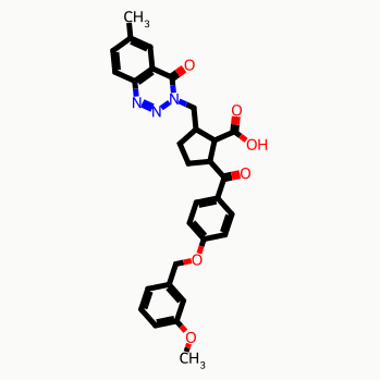 COc1cccc(COc2ccc(C(=O)C3CCC(Cn4nnc5ccc(C)cc5c4=O)C3C(=O)O)cc2)c1